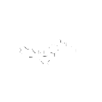 CC1(O)CN(C(=O)[C@H]2CCc3c(sc4ncnc(Nc5ccn6nccc6c5)c34)C2)C1